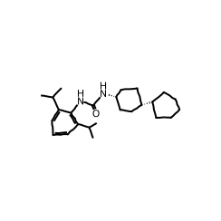 CC(C)c1cccc(C(C)C)c1NC(=O)N[C@H]1CC[C@@H](C2CCCCC2)CC1